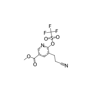 COC(=O)c1cnc(OS(=O)(=O)C(F)(F)F)c(CCC#N)c1